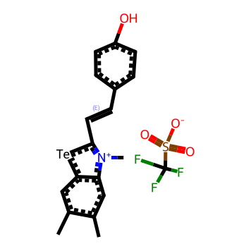 Cc1cc2[te]c(/C=C/c3ccc(O)cc3)[n+](C)c2cc1C.O=S(=O)([O-])C(F)(F)F